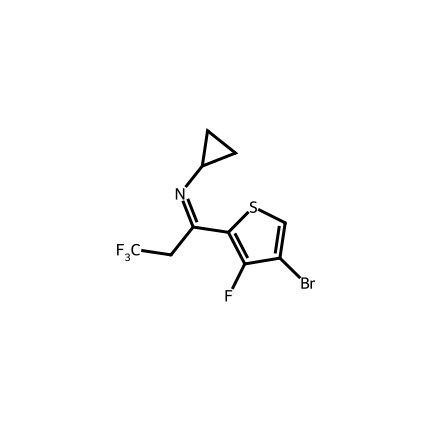 Fc1c(Br)csc1/C(CC(F)(F)F)=N\C1CC1